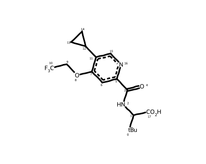 CC(C)(C)C(NC(=O)c1cc(OCC(F)(F)F)c(C2CC2)cn1)C(=O)O